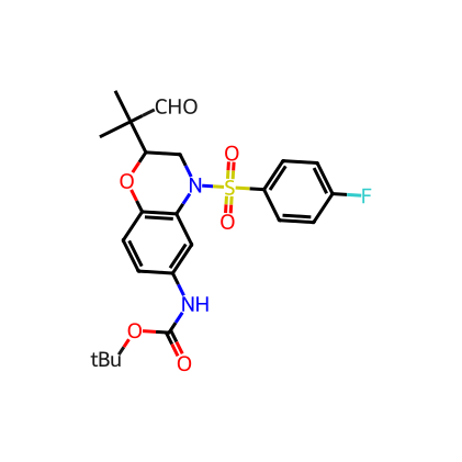 CC(C)(C)OC(=O)Nc1ccc2c(c1)N(S(=O)(=O)c1ccc(F)cc1)CC(C(C)(C)C=O)O2